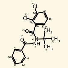 CC(C)(C)N(NC(=O)c1ccccc1)C(=O)c1cccc(Cl)c1Cl